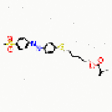 C=C(C)C(=O)OCCCCCCSc1ccc(N=Nc2ccc(S(C)(=O)=O)cc2)cc1